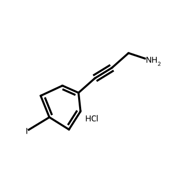 Cl.NCC#Cc1ccc(I)cc1